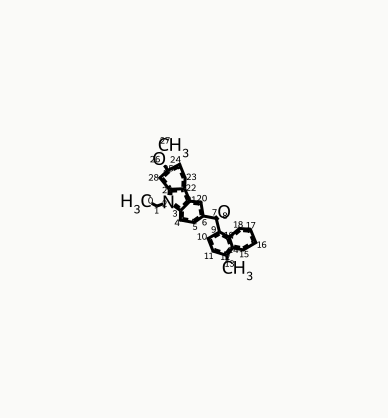 CCn1c2ccc(C(=O)c3ccc(C)c4ccccc34)cc2c2ccc(OC)cc21